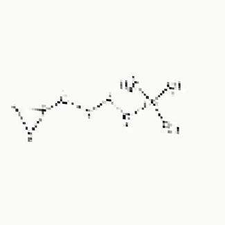 C[Si](C)(C)OCCOC1CC1